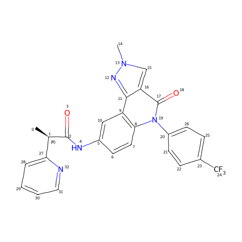 C[C@@H](C(=O)Nc1ccc2c(c1)c1nn(C)cc1c(=O)n2-c1ccc(C(F)(F)F)cc1)c1ccccn1